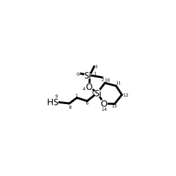 C[Si](C)(C)O[Si]1(CCCS)CCCCO1